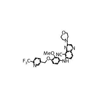 COc1cc(Nc2ccc3ncc(N4CCOCC4)nc3c2C#N)ccc1OCc1ccc(C(F)(F)F)nc1